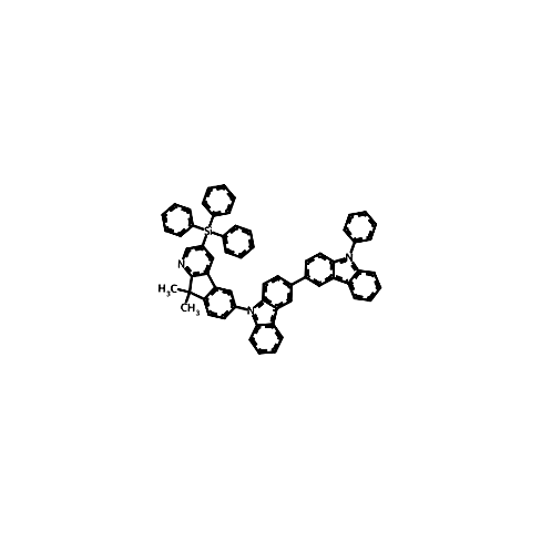 CC1(C)c2ccc(-n3c4ccccc4c4cc(-c5ccc6c(c5)c5ccccc5n6-c5ccccc5)ccc43)cc2-c2cc([Si](c3ccccc3)(c3ccccc3)c3ccccc3)cnc21